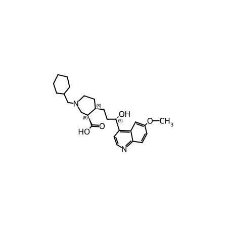 COc1ccc2nccc([C@@H](O)CC[C@@H]3CCN(CC4CCCCC4)C[C@@H]3C(=O)O)c2c1